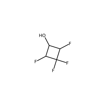 OC1C(F)C(F)(F)C1F